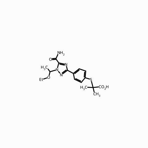 CCOC(C)n1nc(-c2ccc(SC(C)(C)C(=O)O)cc2)nc1C(N)=O